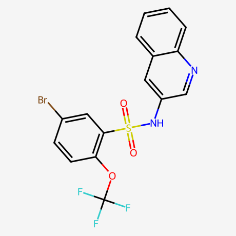 O=S(=O)(Nc1cnc2ccccc2c1)c1cc(Br)ccc1OC(F)(F)F